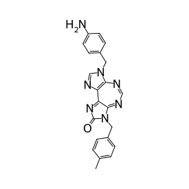 Cc1ccc(Cn2c3ncnc4c(ncn4Cc4ccc(N)cc4)c-3nc2=O)cc1